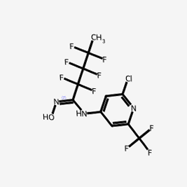 CC(F)(F)C(F)(F)C(F)(F)/C(=N/O)Nc1cc(Cl)nc(C(F)(F)F)c1